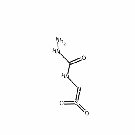 NNC(=O)NN=S(=O)=O